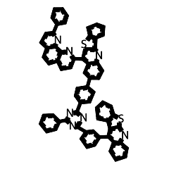 c1ccc(-c2ccc3ccc4ccc(-c5c6cc(-c7ccc(-c8nc(-c9ccccc9)nc(-c9cccc(-c%10c%11ccccc%11nc%11sc%12ccccc%12c%10%11)c9)n8)cc7)ccc6nc6c5sc5ccccc56)nc4c3n2)cc1